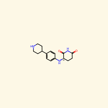 O=C1CC[C@@H](Nc2ccc(C3CCNCC3)cc2)C(=O)N1